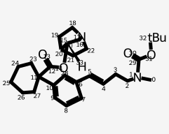 CN(CCC=Cc1cccc(C2(C(=O)O[C@H]3CN4CCC3CC4)CCCCC2)c1)C(=O)OC(C)(C)C